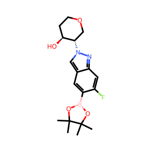 CC1(C)OB(c2cc3cn([C@H]4COCC[C@@H]4O)nc3cc2F)OC1(C)C